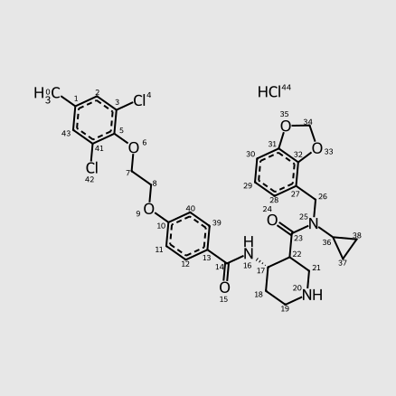 Cc1cc(Cl)c(OCCOc2ccc(C(=O)N[C@H]3CCNCC3C(=O)N(Cc3cccc4c3OCO4)C3CC3)cc2)c(Cl)c1.Cl